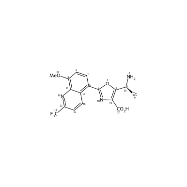 CC[C@H](N)c1oc(-c2ccc(OC)c3nc(C(F)(F)F)ccc23)nc1C(=O)O